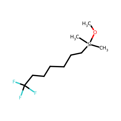 CO[Si](C)(C)CCCCCCC(F)(F)F